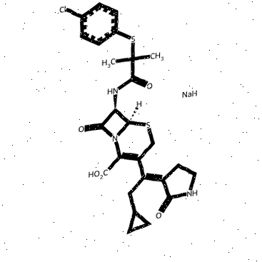 CC(C)(Sc1ccc(Cl)cc1)C(=O)N[C@@H]1C(=O)N2C(C(=O)O)=C(C(CC3CC3)=C3CCNC3=O)CS[C@H]12.[NaH]